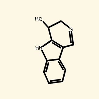 OC1CN=Cc2c1[nH]c1ccccc21